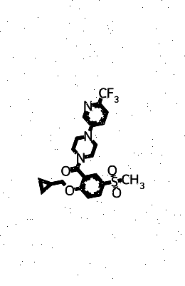 CS(=O)(=O)c1ccc(OCC2CC2)c(C(=O)N2CCN(c3ccc(C(F)(F)F)nc3)CC2)c1